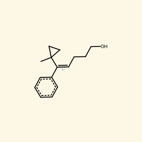 CC1(/C(=C\CCCO)c2ccccc2)CC1